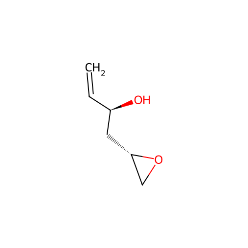 C=C[C@@H](O)C[C@H]1CO1